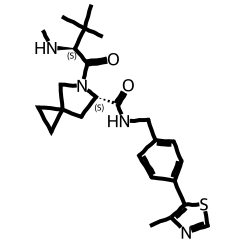 CN[C@H](C(=O)N1CC2(CC2)C[C@H]1C(=O)NCc1ccc(-c2scnc2C)cc1)C(C)(C)C